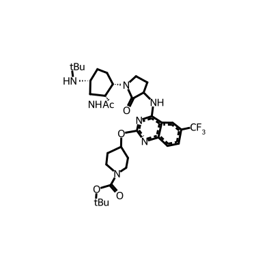 CC(=O)N[C@@H]1C[C@H](NC(C)(C)C)CC[C@@H]1N1CCC(Nc2nc(OC3CCN(C(=O)OC(C)(C)C)CC3)nc3ccc(C(F)(F)F)cc23)C1=O